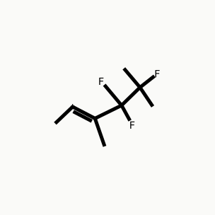 C/[C]=C(\C)C(F)(F)C(C)(C)F